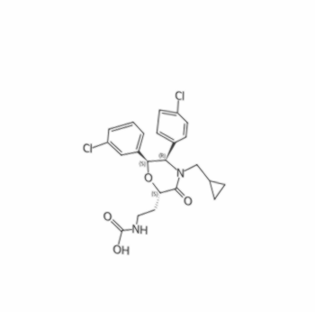 O=C(O)NCC[C@@H]1O[C@@H](c2cccc(Cl)c2)[C@@H](c2ccc(Cl)cc2)N(CC2CC2)C1=O